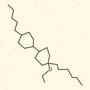 CCCCCCC1(OCC)CCC(C2CCC(CCCCC)CC2)CC1